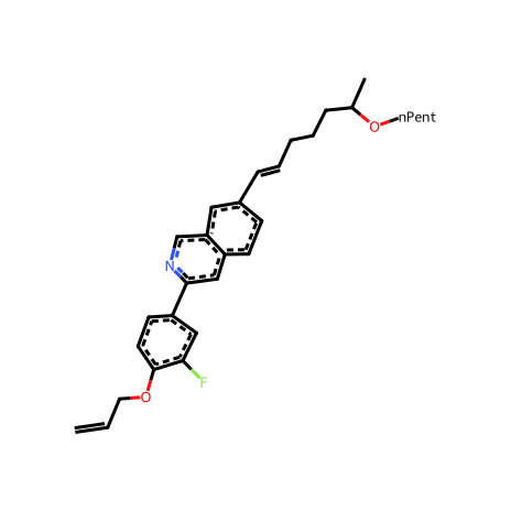 C=CCOc1ccc(-c2cc3ccc(C=CCCCC(C)OCCCCC)cc3cn2)cc1F